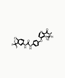 [2H]C([2H])([2H])N(C)C(=O)c1cc(Oc2ccc(NC(=O)Nc3ccc(Cl)c(C(F)(F)F)c3)cc2)ccn1